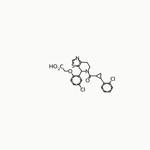 O=C(O)COc1ccc(Cl)cc1C1c2scnc2CCN1C(=O)C1CC1c1ccccc1Cl